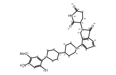 CCc1cc(N)c(OC)cc1N1CCC(C2CCN(c3cccc4c3CN(C3CCC(=O)NC3=O)C4=O)CC2)CC1